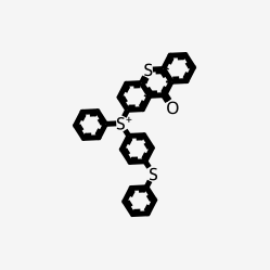 O=c1c2ccccc2sc2ccc([S+](c3ccccc3)c3ccc(Sc4ccccc4)cc3)cc12